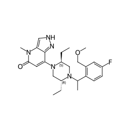 CC[C@H]1CN(C(C)c2ccc(F)cc2COC)[C@H](CC)CN1c1cc(=O)n(C)c2c[nH]nc12